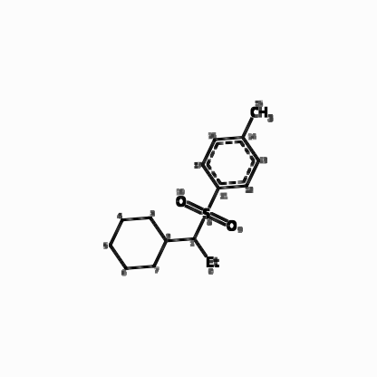 CCC(C1CCCCC1)S(=O)(=O)c1ccc(C)cc1